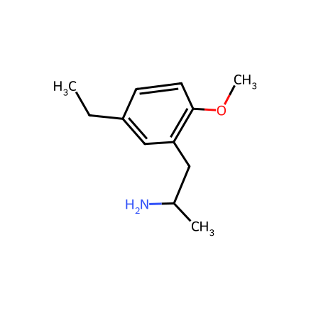 CCc1ccc(OC)c(CC(C)N)c1